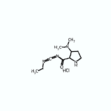 CCN=C=NC(=O)C1NCCC1N(C)C.Cl